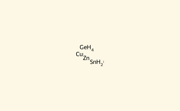 [Cu].[GeH4].[SnH2].[Zn]